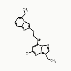 CCc1cnn2c(NCCc3cn4c(CC)cccc4n3)cc(Cl)nc12